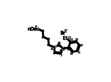 CCCCCCCCCCCCCC[n+]1ccn(-c2ccccc2CC)c1.[Br-]